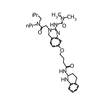 CCCN(CC(C)C)C(=O)CN1Cc2ccc(OCCCC(=O)NC3CCc4ccccc4N3)cc2N=C1NC(=O)N(C)C